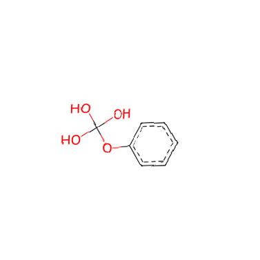 OC(O)(O)Oc1ccccc1